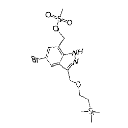 C[Si](C)(C)CCOCc1n[nH]c2c(COS(C)(=O)=O)cc(Br)cc12